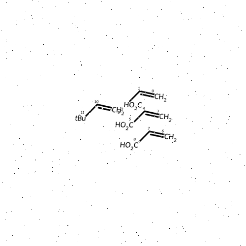 C=CC(=O)O.C=CC(=O)O.C=CC(=O)O.C=CC(C)(C)C